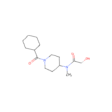 CN(C(=O)CO)C1CCN(C(=O)C2CCCCC2)CC1